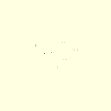 Cl.O=C(O)C1=CCNCC1